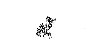 CC(C)(C)OC(=O)C(Cc1ccc(-n2c(=O)[nH]c3cccnc32)cc1)NC(=O)C1N(S(=O)(=O)c2cccnc2)CSC1(C)C